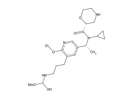 CCOc1ncc([C@@H](C)N(C(=O)[C@H]2CNCCO2)C2CC2)cc1CCCNC(O)OC